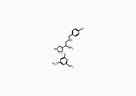 Cc1cc(N)nc(C[C@@H]2CNC[C@H]2C(N)CNCc2ccc(Cl)cc2)c1